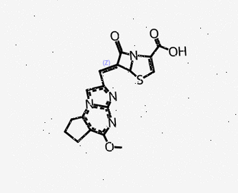 COc1nc2nc(/C=C3/C(=O)N4C(C(=O)O)=CSC34)cn2c2c1CCC2